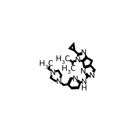 CCN1CCN(Cc2ccc(Nc3ncc4c(n3)-c3c(nc(C5CC5)n3C(C)C)C4)nc2)CC1